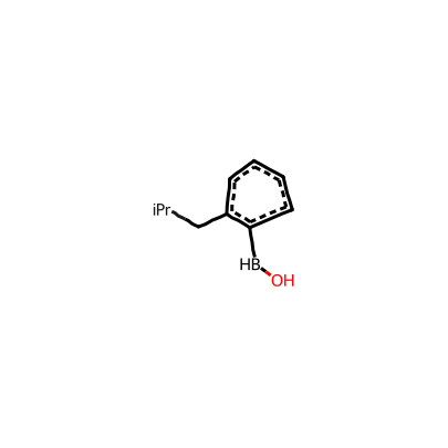 CC(C)Cc1ccccc1BO